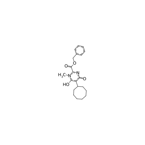 Cn1c(C(=O)OCc2ccccc2)nc(=O)c(C2CCCCCCC2)c1O